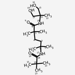 CC(C)(CCC(C)(C)C(=O)NC(C)(CO)CO)NC(=O)C(C)(C)C